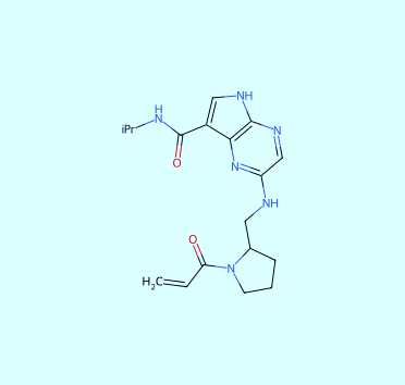 C=CC(=O)N1CCCC1CNc1cnc2[nH]cc(C(=O)NC(C)C)c2n1